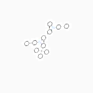 c1ccc(-c2ccc(-n3c4ccccc4c4cc(-c5ccc6c(c5)c5ccc7c(c5n6-c5ccc(-c6ccccc6)cc5)-c5ccccc5C7(c5ccccc5)c5ccccc5)ccc43)cc2)cc1